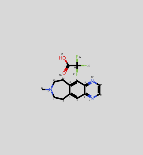 CN1CCc2cc3nccnc3cc2CC1.O=C(O)C(F)(F)F